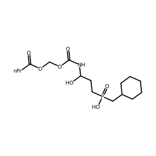 CCCC(=O)OCOC(=O)NC(O)CCP(=O)(O)CC1CCCCC1